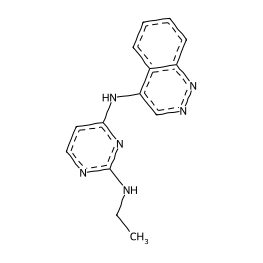 CCNc1nccc(Nc2cnnc3ccccc23)n1